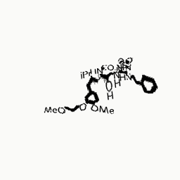 COCCCOc1cc(C[C@H](C[C@H](NC(=O)O)[C@H](O)CNC2=NS(=O)(=O)N=C2NCCc2ccccc2)C(C)C)ccc1OC